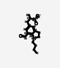 CCCCN1CCc2cc(CC(C)[N+](=O)[O-])cc(C=O)c21